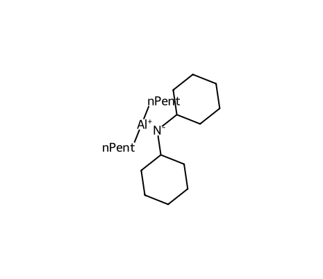 C1CCC([N-]C2CCCCC2)CC1.CCCC[CH2][Al+][CH2]CCCC